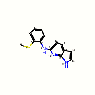 CSc1ccccc1Nc1ccc2cc[nH]c2n1